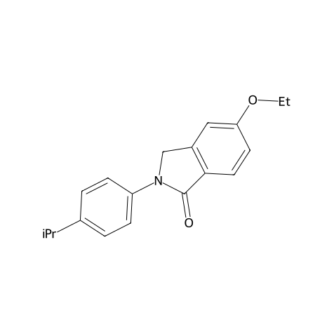 CCOc1ccc2c(c1)CN(c1ccc(C(C)C)cc1)C2=O